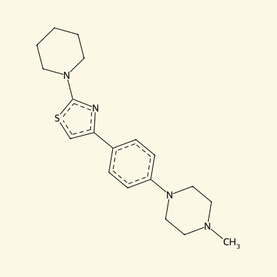 CN1CCN(c2ccc(-c3csc(N4CCCCC4)n3)cc2)CC1